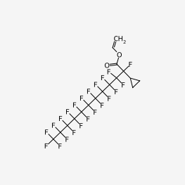 C=COC(=O)C(F)(C1CC1)C(F)(F)C(F)(F)C(F)(F)C(F)(F)C(F)(F)C(F)(F)C(F)(F)C(F)(F)C(F)(F)C(F)(F)F